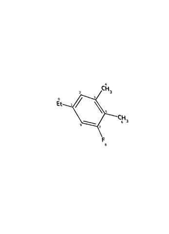 CCc1cc(C)c(C)c(F)c1